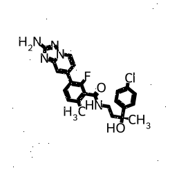 Cc1ccc(-c2ccn3nc(N)nc3c2)c(F)c1C(=O)NCC[C@@](C)(O)c1ccc(Cl)cc1